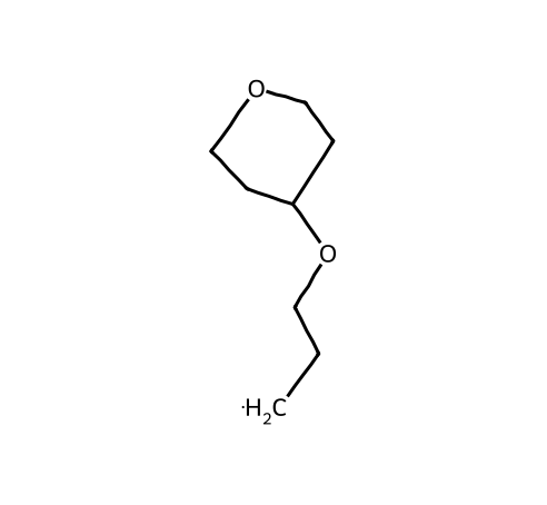 [CH2]CCOC1CCOCC1